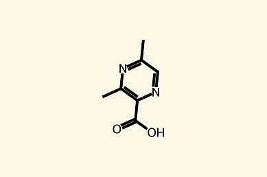 Cc1cnc(C(=O)O)c(C)n1